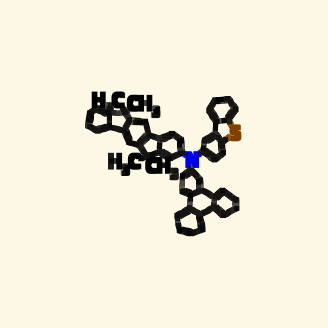 CC1(C)c2ccccc2-c2cc3c(cc21)-c1ccc(N(c2ccc4sc5ccccc5c4c2)c2ccc4c5ccccc5c5ccccc5c4c2)cc1C3(C)C